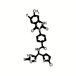 Cc1cc2[nH]c(=O)n(-c3ccc(C(=O)NC(c4noc(=S)[nH]4)c4ccc(Cl)s4)cc3)c(=O)c2cc1F